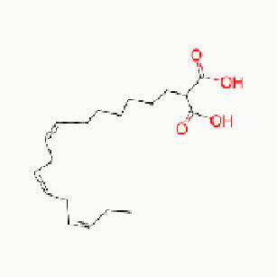 CC/C=C\C/C=C\C/C=C\CCCCCCC(C(=O)O)C(=O)O